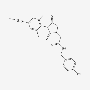 CC#Cc1cc(C)c(C2C(=O)CC(CC(=O)NCc3ccc(C#N)cc3)C2=O)c(C)c1